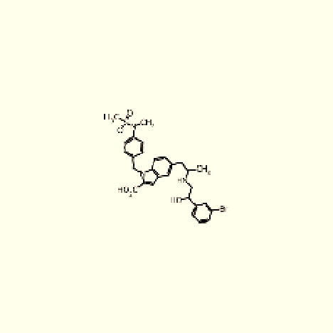 CC(Cc1ccc2c(c1)cc(C(=O)O)n2Cc1ccc(N(C)S(C)(=O)=O)cc1)NCC(O)c1cccc(Br)c1